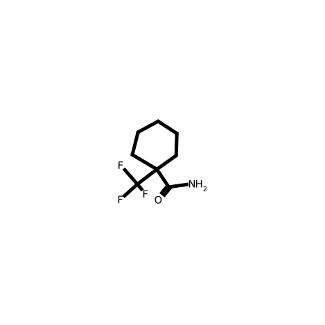 NC(=O)C1(C(F)(F)F)CCCCC1